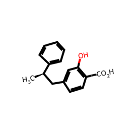 C[C@H](Cc1ccc(C(=O)O)c(O)c1)c1ccccc1